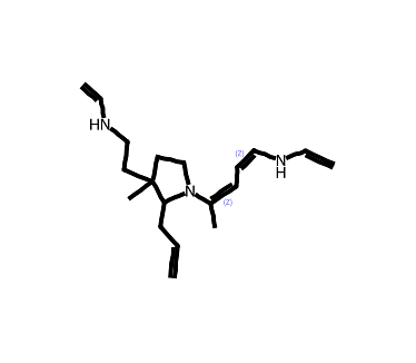 C=CCC1N(/C(C)=C\C=C/NC=C)CCC1(C)CCNC=C